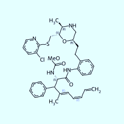 C=C/C=C\C=C(/C)C(c1ccccc1)[C@H](NC(=O)OC)C(=O)Nc1ccccc1CC[C@@H]1CN[C@H](C)[C@@H](CSc2ncccc2Cl)O1